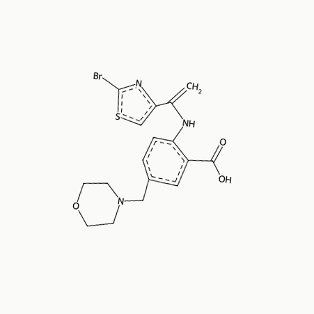 C=C(Nc1ccc(CN2CCOCC2)cc1C(=O)O)c1csc(Br)n1